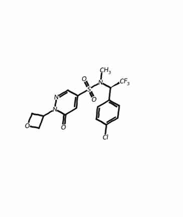 CN([C@H](c1ccc(Cl)cc1)C(F)(F)F)S(=O)(=O)c1cnn(C2COC2)c(=O)c1